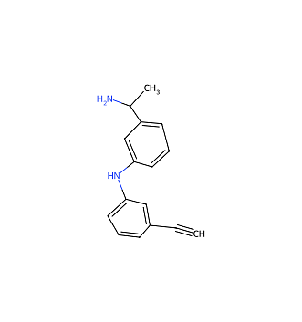 C#Cc1cccc(Nc2cccc(C(C)N)c2)c1